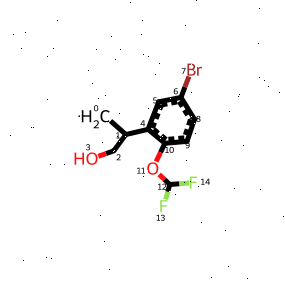 [CH2]C(CO)c1cc(Br)ccc1OC(F)F